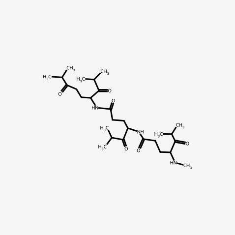 CNC(CCC(=O)NC(CCC(=O)NC(CCC(=O)C(C)C)C(=O)C(C)C)C(=O)C(C)C)C(=O)C(C)C